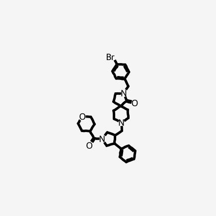 O=C(C1CCOCC1)N1CC(CN2CCC3(CC2)CCN(Cc2ccc(Br)cc2)C3=O)C(c2ccccc2)C1